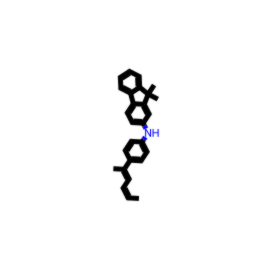 C/C=C\C=C(/C)c1ccc(Nc2ccc3c(c2)C(C)(C)c2ccccc2-3)cc1